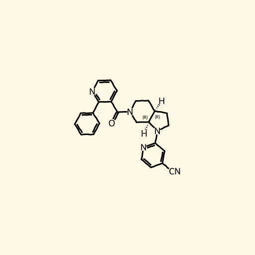 N#Cc1ccnc(N2CC[C@@H]3CCN(C(=O)c4cccnc4-c4ccccc4)C[C@@H]32)c1